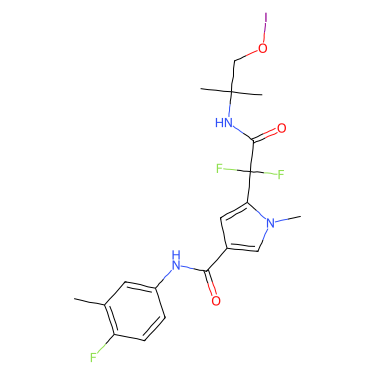 Cc1cc(NC(=O)c2cc(C(F)(F)C(=O)NC(C)(C)COI)n(C)c2)ccc1F